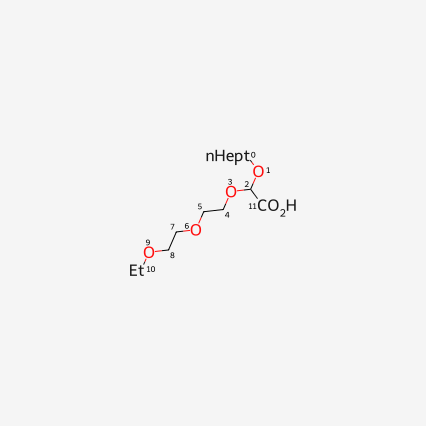 CCCCCCCOC(OCCOCCOCC)C(=O)O